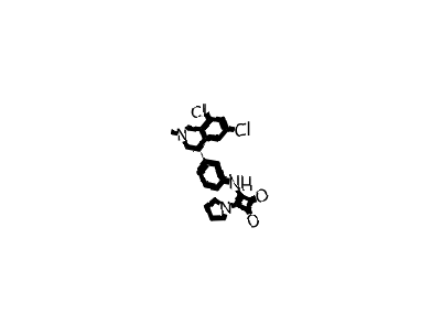 CN1Cc2c(Cl)cc(Cl)cc2[C@H](c2cccc(Nc3c(N4CCCC4)c(=O)c3=O)c2)C1